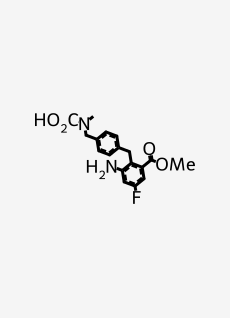 COC(=O)c1cc(F)cc(N)c1Cc1ccc(CN(C)C(=O)O)cc1